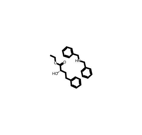 CCOC(=O)[C@@H](O)CCc1ccccc1.c1ccc(CNCc2ccccc2)cc1